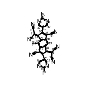 N#CC(C#N)=C1C(c2cnc(F)nc2)=C(C#N)c2c1cc1c(c2F)C(=C(C#N)C#N)C(c2cnc(F)nc2)=C1C#N